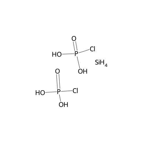 O=P(O)(O)Cl.O=P(O)(O)Cl.[SiH4]